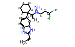 C=CC1=NC2CC(C3(C(=C)N(N)CCC(F)F)CCCCC3)=CC=C2N1